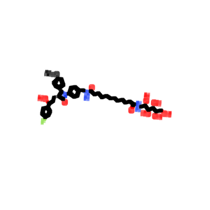 COc1ccc([C@@H]2[C@@H](CC[C@H](O)c3ccc(F)cc3)C(=O)N2c2ccc(CNC(=O)CCCCCCCCCCC(=O)NC[C@H](O)C(O)[C@H](O)[C@H](O)CO)cc2)cc1